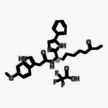 CCC(=O)CCCCC[C@H](NC(=O)Cc1c[nH]c2cc(OC)ccc12)c1ncc(-c2ccccc2)[nH]1.O=C(O)C(F)(F)F